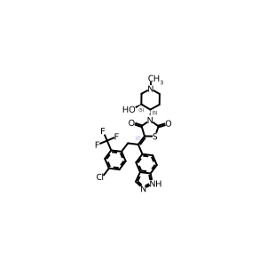 CN1CC[C@H](N2C(=O)S/C(=C(/Cc3ccc(Cl)cc3C(F)(F)F)c3ccc4[nH]ncc4c3)C2=O)[C@@H](O)C1